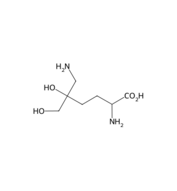 NCC(O)(CO)CCC(N)C(=O)O